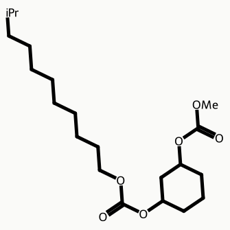 COC(=O)OC1CCCC(OC(=O)OCCCCCCCCCC(C)C)C1